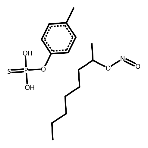 CCCCCCC(C)ON=O.Cc1ccc(OP(O)(O)=S)cc1